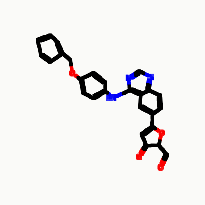 O=CC1OC(c2ccc3ncnc(Nc4ccc(OCc5ccccc5)cc4)c3c2)=CC1=O